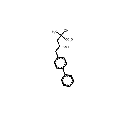 CCOC(=O)C(C)(O)C[C@H](N)Cc1ccc(-c2ccccc2)cc1